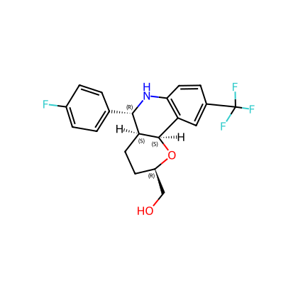 OC[C@H]1CC[C@@H]2[C@H](O1)c1cc(C(F)(F)F)ccc1N[C@H]2c1ccc(F)cc1